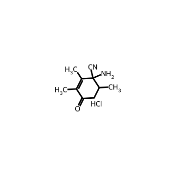 CC1=C(C)C(N)(C#N)C(C)CC1=O.Cl